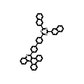 c1ccc2cc(-c3nc(-c4ccc(-c5ccc(-c6nc7ccccc7c7c8ccccc8c8ccccc8c67)cc5)cc4)nc(-c4ccc5ccccc5c4)n3)ccc2c1